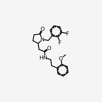 COc1ccccc1CCNC(=O)CC1CCC(=O)N1Cc1cccc(F)c1F